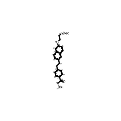 CCCCCCCCCCCCOc1ccc2cc(CCc3ccc(C(=O)C[C@H](C)CC)cc3)ccc2c1